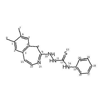 Cc1cc2c(cc1C)CC(NNC(=S)Nc1ccccc1)=NC=C2